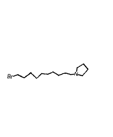 BrCCCCCCCCCCN1CCCC1